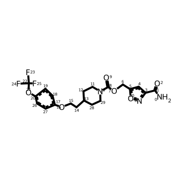 NC(=O)c1cc(COC(=O)N2CCC(CCOc3ccc(OC(F)(F)F)cc3)CC2)on1